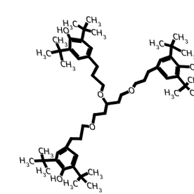 CC(C)(C)c1cc(CCCOCCC(CCOCCCc2cc(C(C)(C)C)c(O)c(C(C)(C)C)c2)OCCCc2cc(C(C)(C)C)c(O)c(C(C)(C)C)c2)cc(C(C)(C)C)c1O